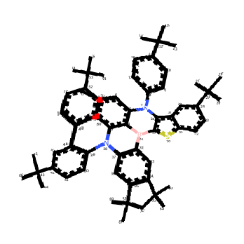 Cc1cc2c3c(c1)N(c1ccc(C(C)(C)C)cc1)c1c(sc4ccc(C(C)(C)C)cc14)B3c1cc3c(cc1N2c1ccc(C(C)(C)C)cc1-c1ccc(C(C)(C)C)cc1)C(C)(C)CC3(C)C